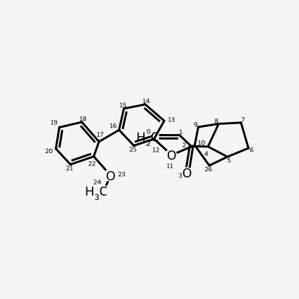 C=CC(=O)C1C2CCC1CC(Oc1cccc(-c3ccccc3OC)c1)C2